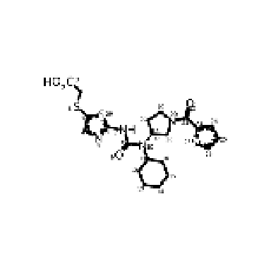 O=C(O)CSc1cnc(NC(=O)N(C2CCCCC2)[C@H]2CCN(C(=O)c3cccs3)C2)s1